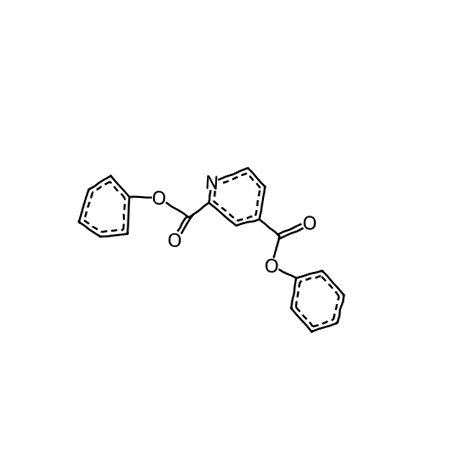 O=C(Oc1ccccc1)c1ccnc(C(=O)Oc2ccccc2)c1